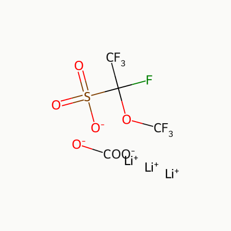 O=C([O-])[O-].O=S(=O)([O-])C(F)(OC(F)(F)F)C(F)(F)F.[Li+].[Li+].[Li+]